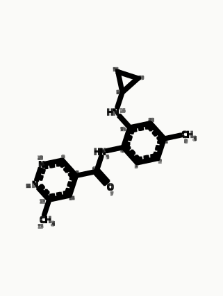 Cc1ccc(NC(=O)c2cnnc(C)c2)c(NC2CC2)c1